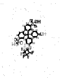 O=S(=O)(O)c1ccc2c(c1)C(c1ccc(O)cc1)(c1ccc(OC3(F)C(F)C(F)(F)C3(F)F)cc1)c1cc(S(=O)(=O)O)ccc1-2